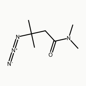 CN(C)C(=O)CC(C)(C)N=[N+]=[N-]